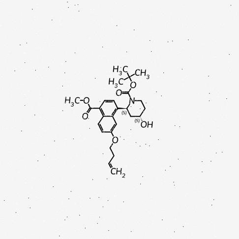 C=CCCOc1ccc2c(C(=O)OC)ccc([C@@H]3C[C@@H](O)CCN3C(=O)OC(C)(C)C)c2c1